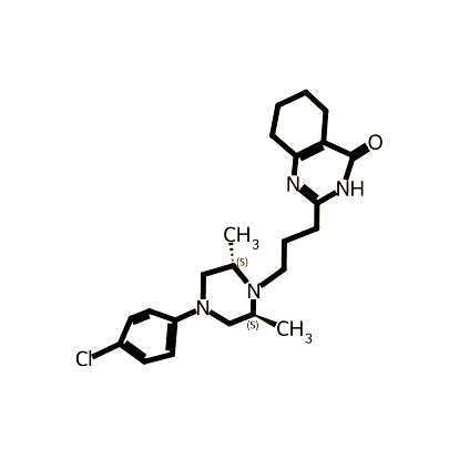 C[C@H]1CN(c2ccc(Cl)cc2)C[C@H](C)N1CCCc1nc2c(c(=O)[nH]1)CCCC2